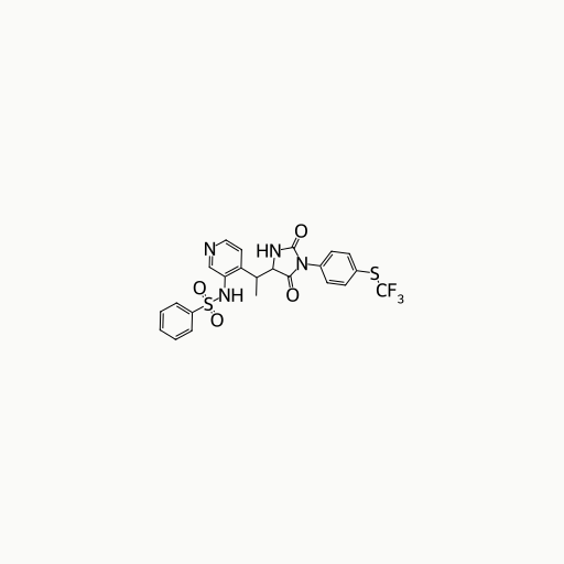 CC(c1ccncc1NS(=O)(=O)c1ccccc1)C1NC(=O)N(c2ccc(SC(F)(F)F)cc2)C1=O